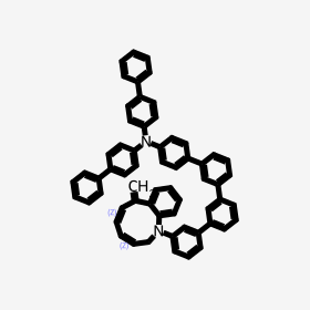 C=C1/C=C\C=C/CN(c2cccc(-c3cccc(-c4cccc(-c5ccc(N(c6ccc(-c7ccccc7)cc6)c6ccc(-c7ccccc7)cc6)cc5)c4)c3)c2)c2ccccc21